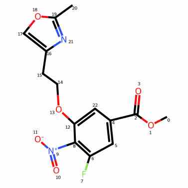 COC(=O)c1cc(F)c([N+](=O)[O-])c(OCCc2coc(C)n2)c1